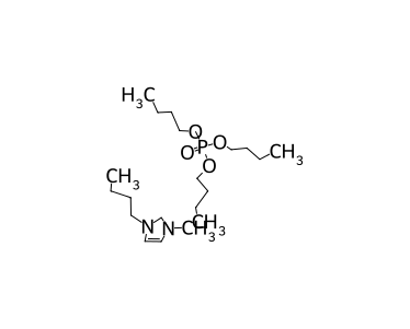 CCCCN1C=CN(C)C1.CCCCOP(=O)(OCCCC)OCCCC